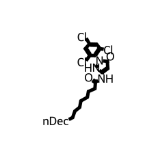 CCCCCCCCCCCCCCCCCC(=O)Nc1cc(=O)n(-c2c(Cl)cc(Cl)cc2Cl)[nH]1